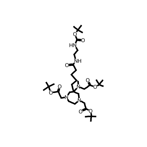 CN(CC(=O)OC(C)(C)C)C1(CCCCC(=O)NCCNC(=O)OC(C)(C)C)CN(CC(=O)OC(C)(C)C)CCN(CC(=O)OC(C)(C)C)C1